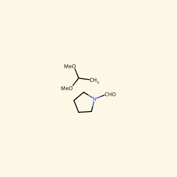 COC(C)OC.O=CN1CCCC1